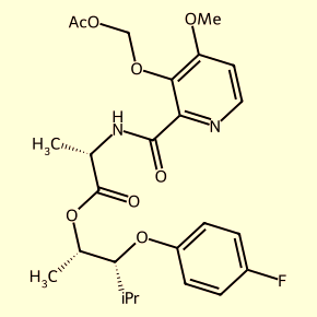 COc1ccnc(C(=O)N[C@@H](C)C(=O)O[C@@H](C)[C@H](Oc2ccc(F)cc2)C(C)C)c1OCOC(C)=O